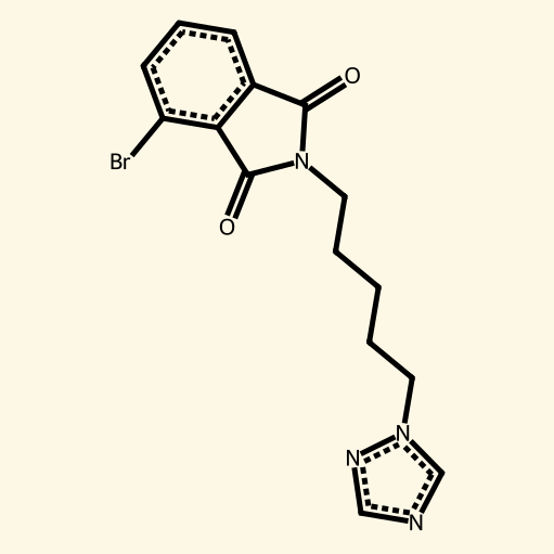 O=C1c2cccc(Br)c2C(=O)N1CCCCCn1cncn1